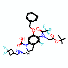 CC(C)(C)OC(=O)CN(C(=O)C(F)(F)F)c1c(OCc2ccccc2)cc2c(c1F)C[C@H](CNCC1CC(F)(F)C1)N2C(=O)O